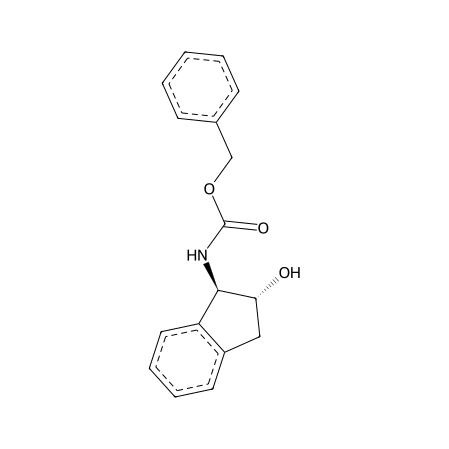 O=C(N[C@@H]1c2ccccc2C[C@H]1O)OCc1ccccc1